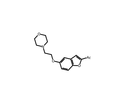 CC(=O)c1cc2cc(OCCN3CCOCC3)ccc2o1